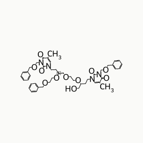 Cc1cn(CCC(CO)OCCOC[C@H](CCn2cc(C)c(=O)n(COCc3ccccc3)c2=O)OCCOCc2ccccc2)c(=O)n(COCc2ccccc2)c1=O